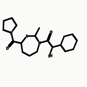 CC1SC(C(=O)N2CCCC2)CCCN1C(=O)C(S)C1CCCCC1